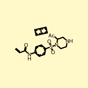 C=CC(=O)Nc1ccc(S(=O)(=O)N2CCNCC2C(C)=O)cc1.c1cc2ccc1-2